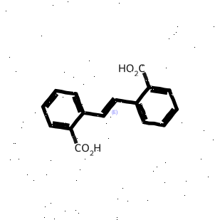 O=C(O)c1ccccc1/C=C/c1ccccc1C(=O)O